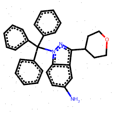 Nc1ccc2c(c1)c(C1CCOCC1)nn2C(c1ccccc1)(c1ccccc1)c1ccccc1